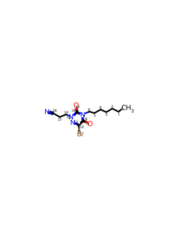 CCCCCCCn1c(=O)c(Br)nn(CCC#N)c1=O